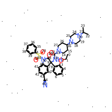 CCOc1ccccc1C1(NC(=O)N2CCC(N3CCN(C(C)C)CC3)CC2)C(=O)N(S(=O)(=O)c2ccccc2)c2ccc(C#N)cc21